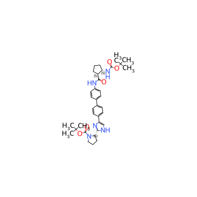 CC(C)(C)OC(=O)N[C@H]1CCC[C@@H]1C(=O)Nc1ccc(-c2ccc(-c3c[nH]c([C@@H]4CCCN4C(=O)OC(C)(C)C)n3)cc2)cc1